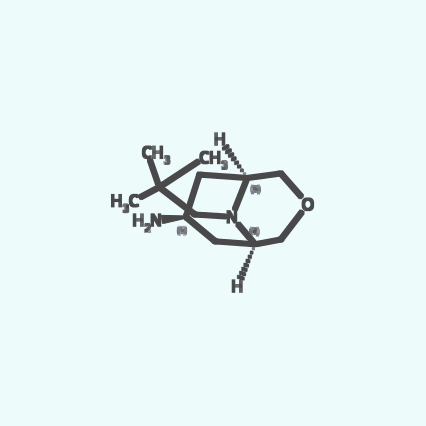 CC(C)(C)CN1[C@@H]2COC[C@H]1C[C@@H](N)C2